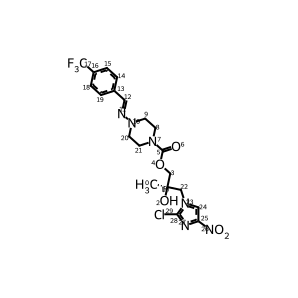 C[C@](O)(COC(=O)N1CCN(N=Cc2ccc(C(F)(F)F)cc2)CC1)Cn1cc([N+](=O)[O-])nc1Cl